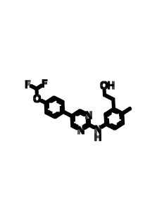 Cc1ccc(Nc2ncc(-c3ccc(OC(F)F)cc3)cn2)cc1CCO